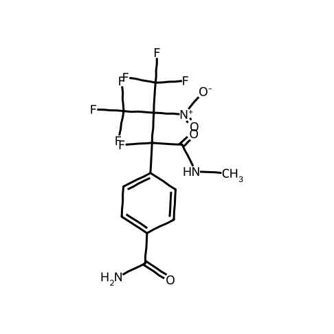 CNC(=O)C(F)(c1ccc(C(N)=O)cc1)C([N+](=O)[O-])(C(F)(F)F)C(F)(F)F